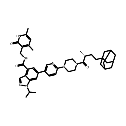 Cc1cc(C)c(CNC(=O)c2cc(-c3ccc(N4CCN(C(=O)[C@H](C)CCC56CC7CC(CC(C7)C5)C6)CC4)nc3)cc3c2cnn3C(C)C)c(=O)[nH]1